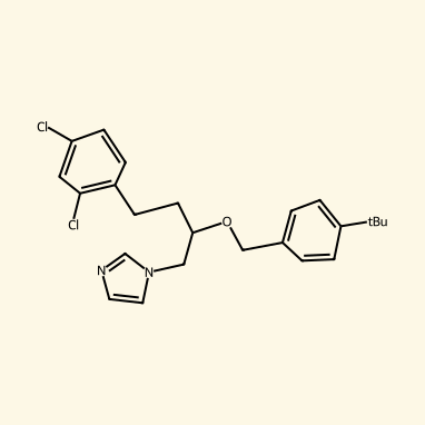 CC(C)(C)c1ccc(COC(CCc2ccc(Cl)cc2Cl)Cn2ccnc2)cc1